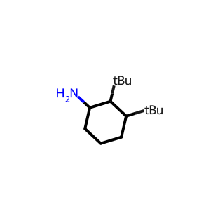 CC(C)(C)C1CCCC(N)C1C(C)(C)C